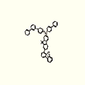 CC1(C)c2cc(-c3cccc4c3sc3ccccc34)ccc2-c2ccc(N(c3ccc(-c4ccccc4)cc3)c3ccc(-c4cccc(-c5ccccc5)c4)cc3)cc21